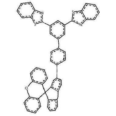 c1ccc2c(c1)Oc1ccccc1C21c2ccccc2-c2ccc(-c3ccc(-c4cc(-c5nc6ccccc6s5)cc(-c5nc6ccccc6s5)c4)cc3)cc21